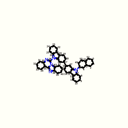 c1ccc2cc(-n3c4ccccc4c4ccc(-c5ccc6c7ccccc7n(-c7nc8ccccc8c8nc9ccccc9n78)c6c5)cc43)ccc2c1